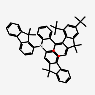 CC(C)(C)c1cc(C(C)(C)C)c2c(c1)C(C)(C)C1=CCCC(c3ccccc3N(C3=C=C=C4C(=C3)C(C)(C)c3ccccc34)c3cccc4c3C(C)(C)c3ccccc3-4)=C12